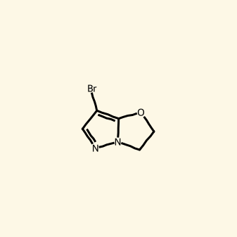 Brc1cnn2c1OCC2